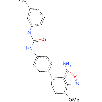 COc1ccc(-c2ccc(NC(=O)Nc3cccc(C(F)(F)F)c3)cc2)c2c(N)onc12